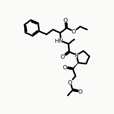 CCOC(=O)C(CCc1ccccc1)NC(C)C(=O)N1CCC[C@H]1C(=O)COC(C)=O